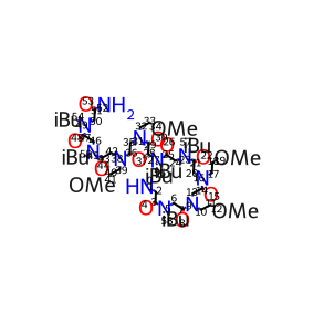 CCC(C)NCC(=O)N(CC(=O)N(CCOC)CC(=O)N(CCOC)CC(=O)N(CC(=O)N(CC(=O)N(CCOC)CC(=O)N(CCOC)CC(=O)N(CC(=O)N(CC(N)=O)C(C)CC)C(C)CC)C(C)CC)C(C)CC)C(C)CC